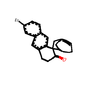 CCc1ccc2cc3c(cc2c1)CCC(=O)C31CC2=CCC1C2